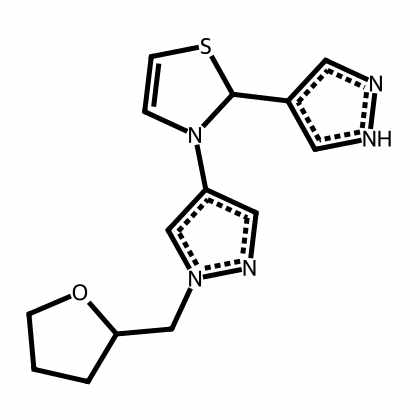 C1=CN(c2cnn(CC3CCCO3)c2)C(c2cn[nH]c2)S1